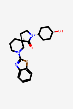 O=C1N([C@H]2CC[C@H](O)CC2)CC[C@@]12CCCN(c1nc3ccccc3s1)C2